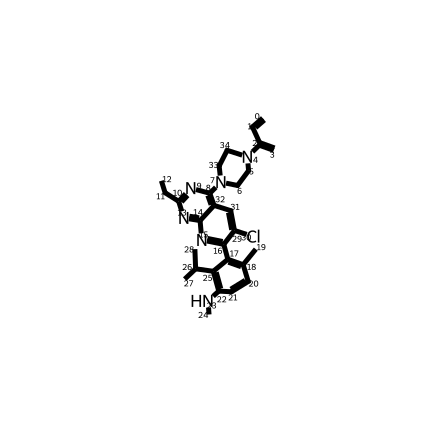 C=CC(=C)N1CCN(c2nc(CC)nc3nc(-c4c(C)ccc(NC)c4C(C)C)c(Cl)cc23)CC1